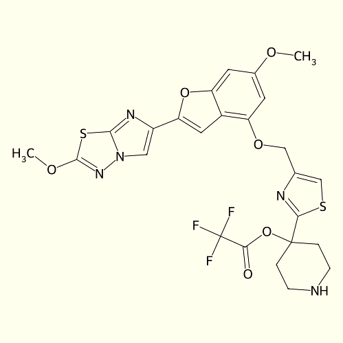 COc1cc(OCc2csc(C3(OC(=O)C(F)(F)F)CCNCC3)n2)c2cc(-c3cn4nc(OC)sc4n3)oc2c1